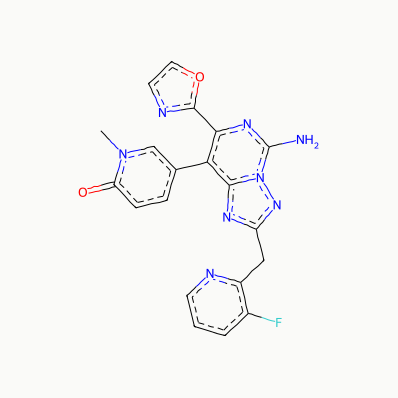 Cn1cc(-c2c(-c3ncco3)nc(N)n3nc(Cc4ncccc4F)nc23)ccc1=O